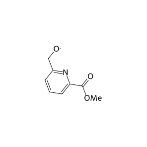 COC(=O)c1cccc(C[O])n1